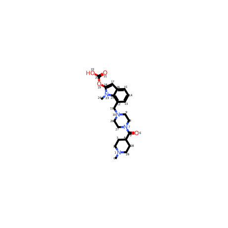 CN1CCC(C(=O)N2CCN(Cc3cccc4cc(OC(=O)O)n(C)c34)CC2)CC1